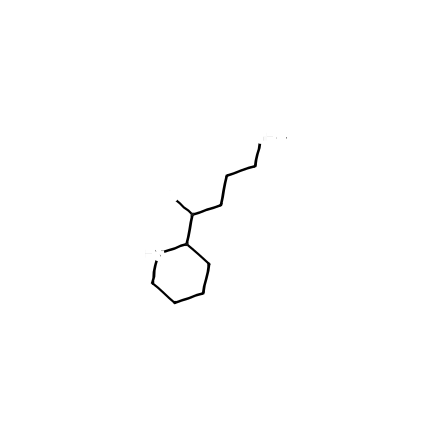 CCCCCCCCCC(O)C1CCCCN1